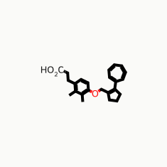 Cc1c(CCC(=O)O)ccc(OCC2=C(C3=CC=CC=C=C3)CCC2)c1C